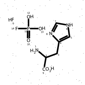 F.NC(Cc1c[nH]cn1)C(=O)O.O=P(O)(O)F